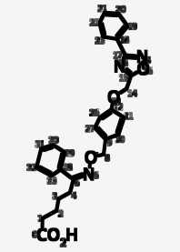 O=C(O)CCCCC(=NOCc1ccc(OCc2nc(-c3ccccc3)no2)cc1)c1ccccc1